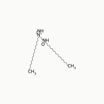 CCCCCCCCCCCCCCCCCCC(CCNC(=O)CCCCCCCCCCCCCCCCC)[N+]1=CNCC1